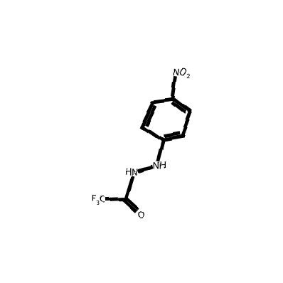 O=C(NNc1ccc([N+](=O)[O-])cc1)C(F)(F)F